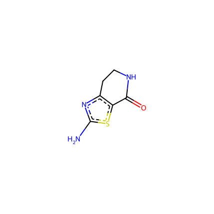 Nc1nc2c(s1)C(=O)NCC2